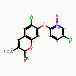 O=C(O)C1=Cc2cc(Cl)c(Oc3ccc(Cl)c[n+]3[O-])cc2OC1C(F)(F)F